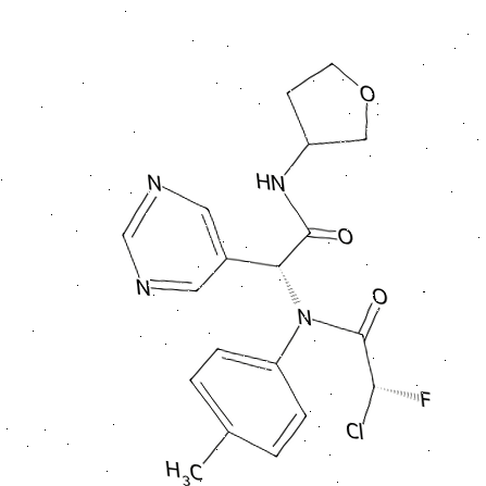 Cc1ccc(N(C(=O)[C@H](F)Cl)[C@@H](C(=O)NC2CCOC2)c2cncnc2)cc1